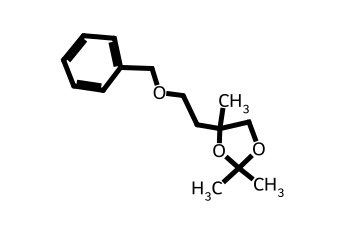 CC1(CCOCc2ccccc2)COC(C)(C)O1